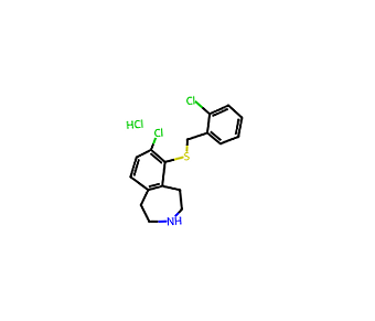 Cl.Clc1ccccc1CSc1c(Cl)ccc2c1CCNCC2